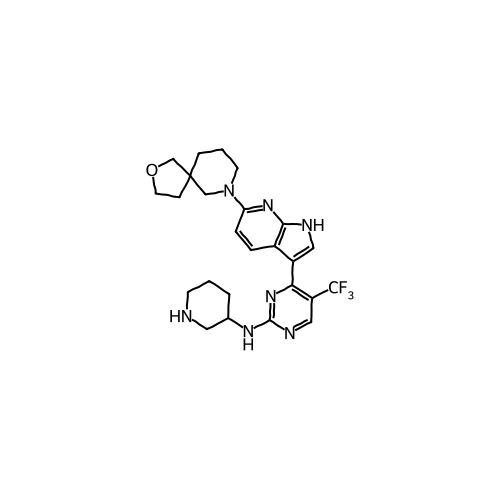 FC(F)(F)c1cnc(NC2CCCNC2)nc1-c1c[nH]c2nc(N3CCCC4(CCOC4)C3)ccc12